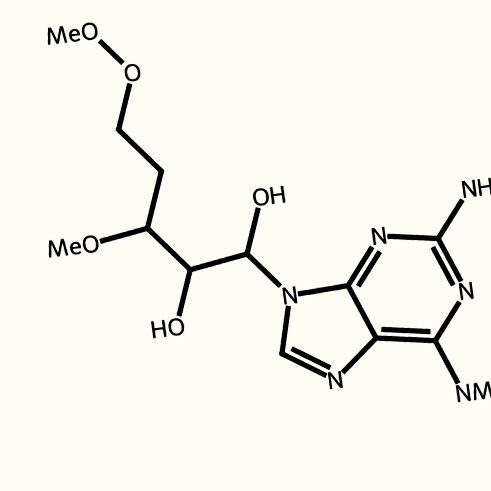 CNc1nc(N)nc2c1ncn2C(O)C(O)C(CCOOC)OC